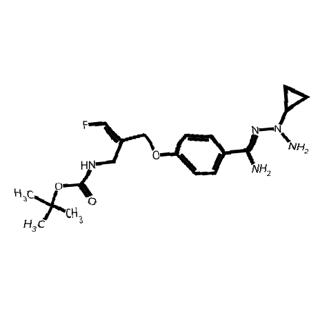 CC(C)(C)OC(=O)NC/C(=C\F)COc1ccc(/C(N)=N/N(N)C2CC2)cc1